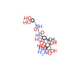 C[C@H]1c2ccc(NC(=O)CCC(=O)NCCc3ccc(O)c(O)c3)c(O)c2C(=O)C2=C(O)[C@]3(O)C(=N)C(C(N)=O)=C(O)CC3[C@@H](O)C21